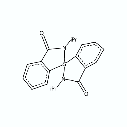 CC(C)N1C(=O)c2ccccc2S12c1ccccc1C(=O)N2C(C)C